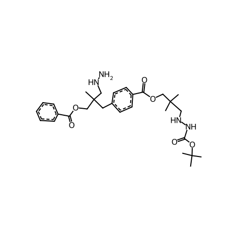 CC(C)(CNNC(=O)OC(C)(C)C)COC(=O)c1ccc(CC(C)(CNN)COC(=O)c2ccccc2)cc1